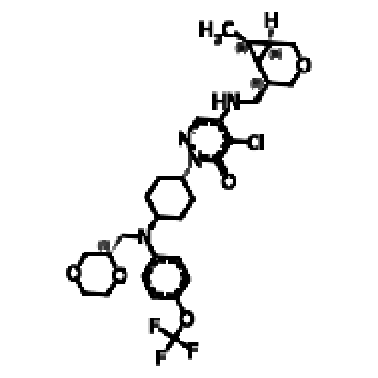 C[C@@H]1C2[C@H](CNc3cnn([C@H]4CC[C@H](N(C[C@H]5COCCO5)c5ccc(OC(F)(F)F)cc5)CC4)c(=O)c3Cl)COC[C@@H]21